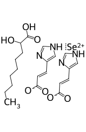 CCCCCCCC(O)C(=O)O.O=C([O-])C=Cc1c[nH]cn1.O=C([O-])C=Cc1c[nH]cn1.[Se+2]